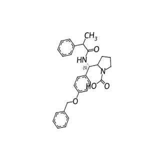 CC(C(=O)N[C@@H](c1ccc(OCc2ccccc2)cc1)C1CCCN1C(=O)O)c1ccccc1